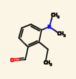 CCc1c(C=O)cccc1N(C)C